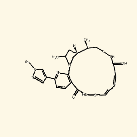 CC1C[C@H]2CN1c1nc(-c3cnn(C(C)C)c3)ccc1C(=O)NS/C=C/C=C\C(=N)NCC[C@@H]2C